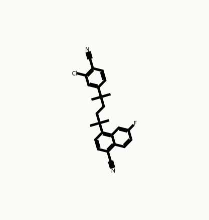 CC(C)(CCC(C)(C)c1ccc(C#N)c2ccc(F)cc12)c1ccc(C#N)c(Cl)c1